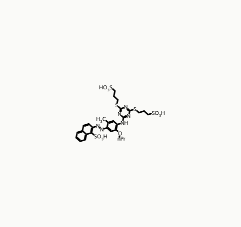 CCCOc1cc(N=Nc2ccc3ccccc3c2S(=O)(=O)O)c(C)cc1Nc1nc(SCCCS(=O)(=O)O)nc(SCCCS(=O)(=O)O)n1